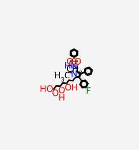 CC(C)n1c(CCC(O)CC(O)CC(=O)O)c(-c2ccc(F)cc2)c(-c2ccccc2)c1CNS(=O)(=O)c1ccccc1